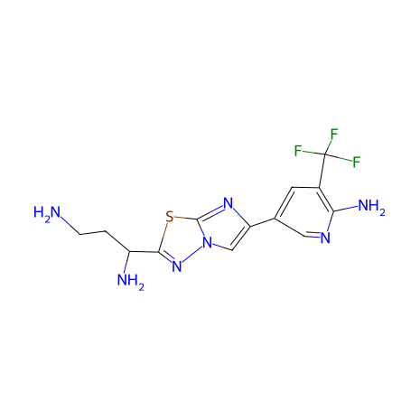 NCCC(N)c1nn2cc(-c3cnc(N)c(C(F)(F)F)c3)nc2s1